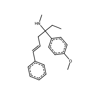 CCC(CC=Cc1ccccc1)(NC)c1ccc(OC)cc1